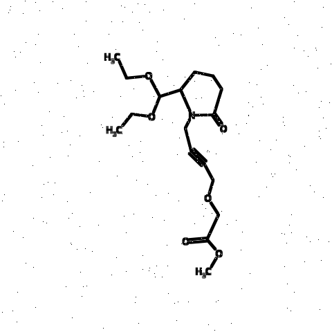 CCOC(OCC)C1CCCC(=O)N1CC#CCOCC(=O)OC